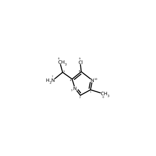 Cc1cnc(C(C)N)c(Cl)n1